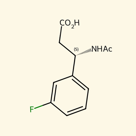 CC(=O)N[C@@H](CC(=O)O)c1cccc(F)c1